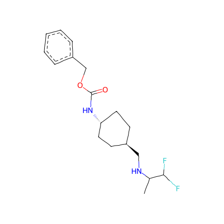 CC(NC[C@H]1CC[C@H](NC(=O)OCc2ccccc2)CC1)C(F)F